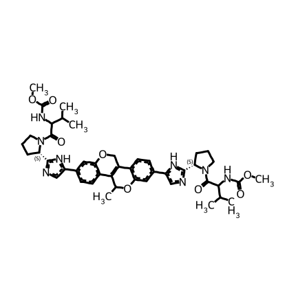 COC(=O)NC(C(=O)N1CCC[C@H]1c1ncc(-c2ccc3c(c2)OC(C)C2=C3COc3cc(-c4cnc([C@@H]5CCCN5C(=O)C(NC(=O)OC)C(C)C)[nH]4)ccc32)[nH]1)C(C)C